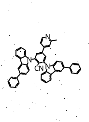 Cc1cc(-c2cc(-n3c4ccccc4c4cc(-c5ccccc5)ccc43)c(C#N)c(-n3c4ccccc4c4cc(-c5ccccc5)ccc43)c2)ccn1